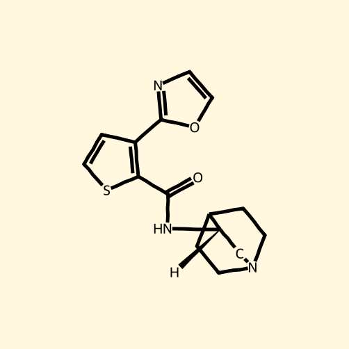 O=C(N[C@H]1CN2CCC1CC2)c1sccc1-c1ncco1